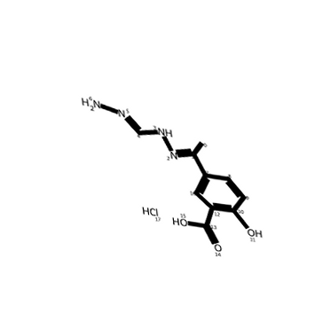 CC(=NNC=NN)c1ccc(O)c(C(=O)O)c1.Cl